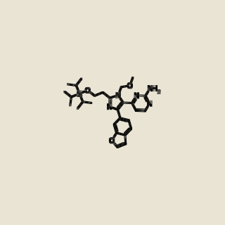 COCn1c(CCO[Si](C(C)C)(C(C)C)C(C)C)nc(-c2ccc3ccoc3c2)c1-c1ccnc(N)n1